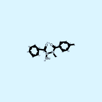 Cc1ccc(C(=O)N(C)N(C(=O)c2ccccc2)C(C)(C)C)cc1